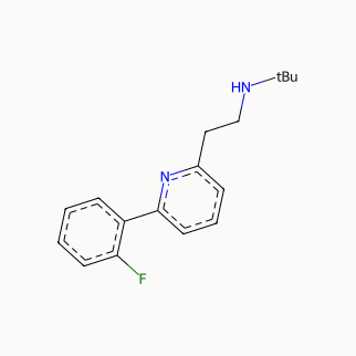 CC(C)(C)NCCc1cccc(-c2ccccc2F)n1